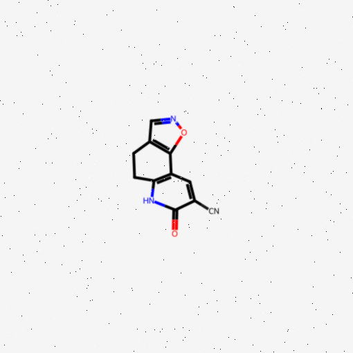 N#Cc1cc2c([nH]c1=O)CCc1cnoc1-2